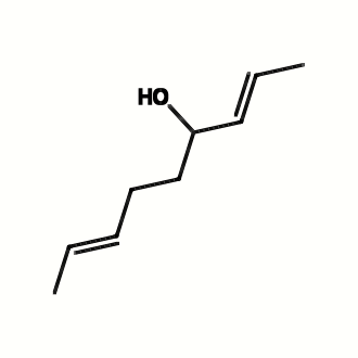 C/C=C/CCC(O)/C=C/C